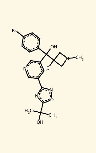 CN1CC(C)(C(O)(c2ccc(Br)cc2)c2cncc(-c3noc(C(C)(C)O)n3)c2)C1